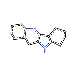 [c]1cccc2nc3c(cc12)[nH]c1ccccc13